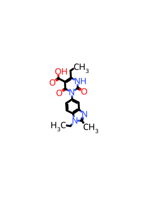 CCc1[nH]c(=O)n(-c2ccc3c(c2)nc(C)n3CC)c(=O)c1C(=O)O